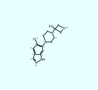 CCC1(N2CCN(c3cc4[nH]ncc4cc3Cl)CC2)COC1